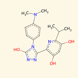 CC(C)c1nc(-c2nnc(O)n2-c2ccc(N(C)C)cc2)c(O)cc1O